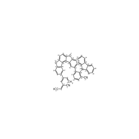 C=C/C(=C\C(C#N)=C/C)c1ccc2oc3ccc4oc5ccc(-c6cccc(C#N)c6-n6c7ccccc7c7ccccc76)cc5c4c3c2c1